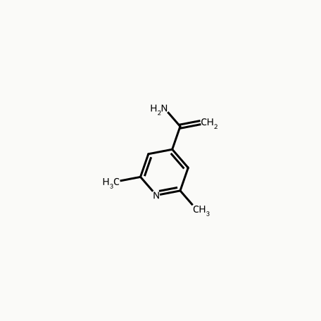 C=C(N)c1cc(C)nc(C)c1